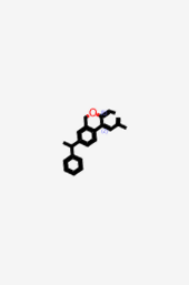 C=C(C)/C=C1\C(=C/C)OCc2cc(C(C)c3ccccc3)ccc21